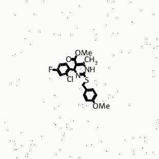 COC(=O)C1=C(C)NC(SCc2ccc(OC)cc2)=NC1c1ccc(F)cc1Cl